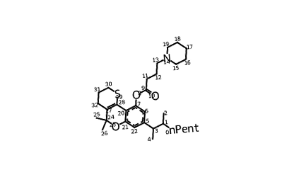 CCCCCC(C)C(C)c1cc(OC(=O)CCCN2CCCCC2)c2c(c1)OC(C)(C)C1=C2SCCC1